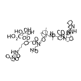 Cc1c(-c2ccc(N3CCc4cccc(C(=O)Nc5nc6ccccc6s5)c4C3)nc2C(=O)O)cnn1CC12CC3(C)CC(C)(C1)CC(OCCN(CCC(=O)N(C)C)C(=O)OCc1ccc(CCCCNC(=O)CN4C(=O)C=CC4=O)cc1O[C@@H]1O[C@H](C(=O)O)[C@@H](O)[C@H](O)[C@H]1O)(C3)C2